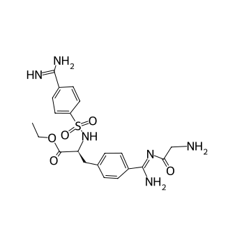 CCOC(=O)[C@H](Cc1ccc(C(N)=NC(=O)CN)cc1)NS(=O)(=O)c1ccc(C(=N)N)cc1